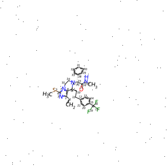 C=Cc1nc(SC)n2c1[C@H](CCc1ccc(C(F)(F)F)cc1)N([C@@H](C(=O)NC)c1ccccc1)CC2